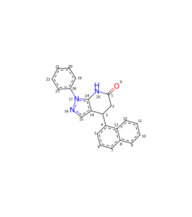 O=C1CC(c2cccc3ccccc23)c2cnn(-c3ccccc3)c2N1